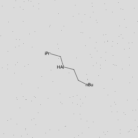 CCCCC[CH2][AlH][CH2]C(C)C